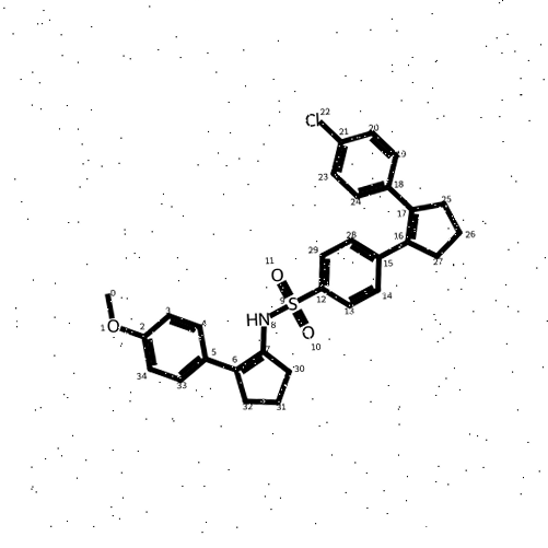 COc1ccc(C2=C(NS(=O)(=O)c3ccc(C4=C(c5ccc(Cl)cc5)CCC4)cc3)CCC2)cc1